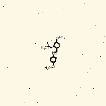 COc1ccc(/N=C/c2ccc(OC)cc2/C=C(/C)Cl)cc1